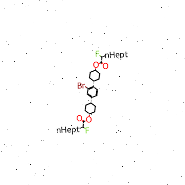 CCCCCCC[C@H](F)C(=O)O[C@H]1CC[C@H](c2ccc([C@H]3CC[C@H](OC(=O)[C@@H](F)CCCCCCC)CC3)c(Br)c2)CC1